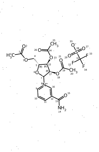 CC(=O)OC[C@H]1OC([n+]2cccc(C(N)=O)c2)[C@H](OC(C)=O)[C@@H]1OC(C)=O.O=S(=O)([O-])C(F)(F)F